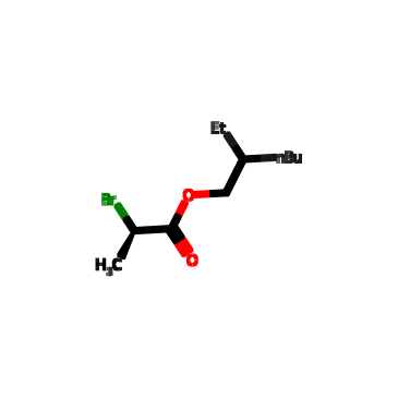 CCCCC(CC)COC(=O)[C@@H](C)Br